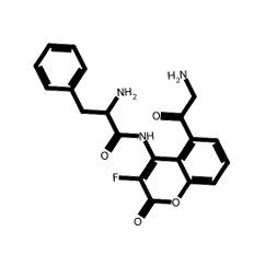 NCC(=O)c1cccc2oc(=O)c(F)c(NC(=O)C(N)Cc3ccccc3)c12